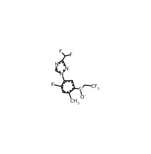 Cc1cc(F)c(-n2cnc(C(F)F)n2)cc1[S+]([O-])CC(F)(F)F